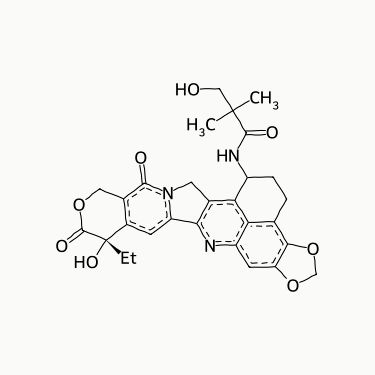 CC[C@@]1(O)C(=O)OCc2c1cc1n(c2=O)Cc2c-1nc1cc3c(c4c1c2C(NC(=O)C(C)(C)CO)CC4)OCO3